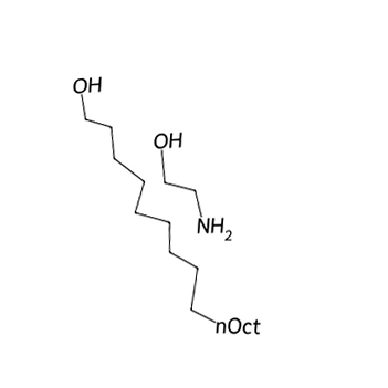 CCCCCCCCCCCCCCCCCO.NCCO